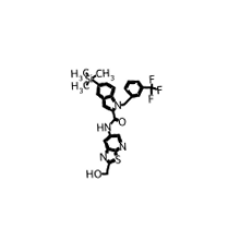 C[Si](C)(C)c1ccc2c(c1)cc(C(=O)Nc1cnc3sc(CO)nc3c1)n2Cc1cccc(C(F)(F)F)c1